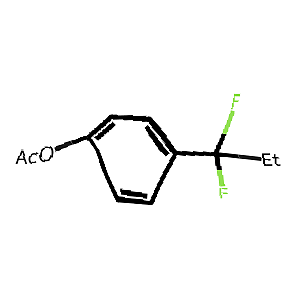 CCC(F)(F)c1ccc(OC(C)=O)cc1